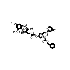 Cc1cc(C)c(S(=O)(=O)NC(CNC(=O)COC2CC(CNc3cc(Cl)ccn3)N(OC(=O)OCc3ccccc3)C2)C(=O)O)c(C)c1